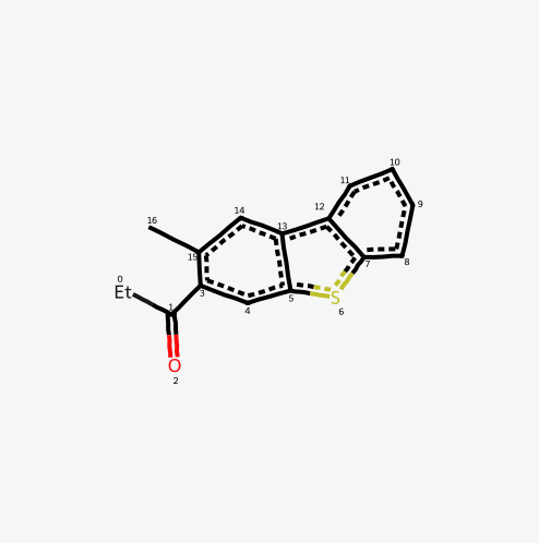 CCC(=O)c1cc2sc3ccccc3c2cc1C